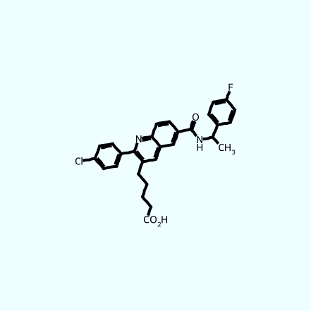 CC(NC(=O)c1ccc2nc(-c3ccc(Cl)cc3)c(CCCCC(=O)O)cc2c1)c1ccc(F)cc1